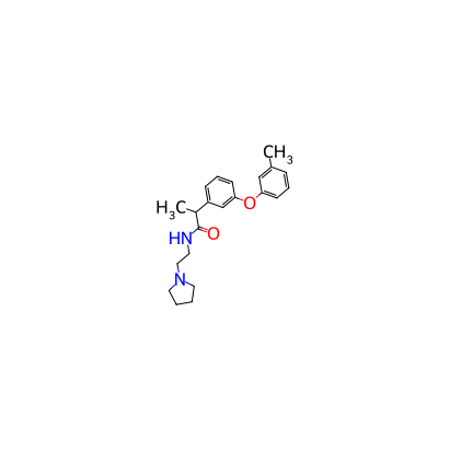 Cc1cccc(Oc2cccc(C(C)C(=O)NCCN3CCCC3)c2)c1